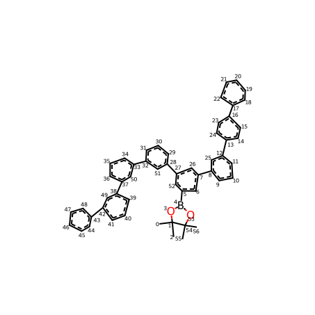 CC1(C)OB(c2cc(-c3cccc(-c4ccc(-c5ccccc5)cc4)c3)cc(-c3cccc(-c4cccc(-c5cccc(-c6ccccc6)c5)c4)c3)c2)OC1(C)C